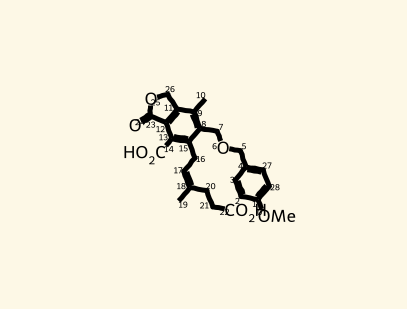 COc1ccc(COCc2c(C)c3c(c(C(=O)O)c2CC=C(C)CCC(=O)O)C(=O)OC3)cc1